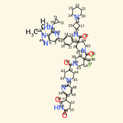 CC(C)n1cnc2cc(-c3ccc4c(c3)N([C@H]3C[C@@H](N5CCCCC5)C3)C(=O)C43CCN(C(=O)C4(C(F)F)CCN(C(=O)C5CCN(c6ccc(C7CCC(=O)NC7=O)cn6)CC5)CC4)CC3)nc(NC3CC3)c21